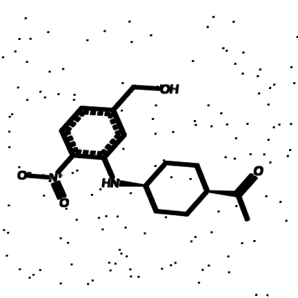 CC(=O)[C@H]1CC[C@@H](Nc2cc(CO)ccc2[N+](=O)[O-])CC1